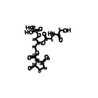 O=C(CO)NCC(=O)OC(COC(=O)N1C(=O)CCC1=O)COP(=O)(O)O